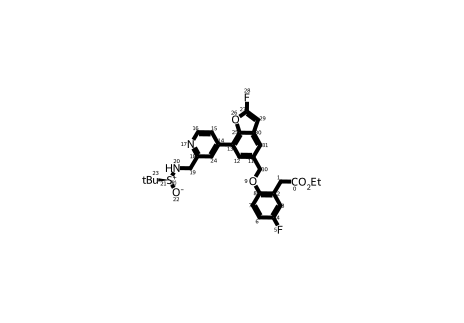 CCOC(=O)Cc1cc(F)ccc1OCc1cc(-c2ccnc(CN[S@@+]([O-])C(C)(C)C)c2)c2oc(F)cc2c1